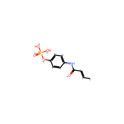 CC=CC(=O)Nc1ccc(OP(=O)(O)O)cc1